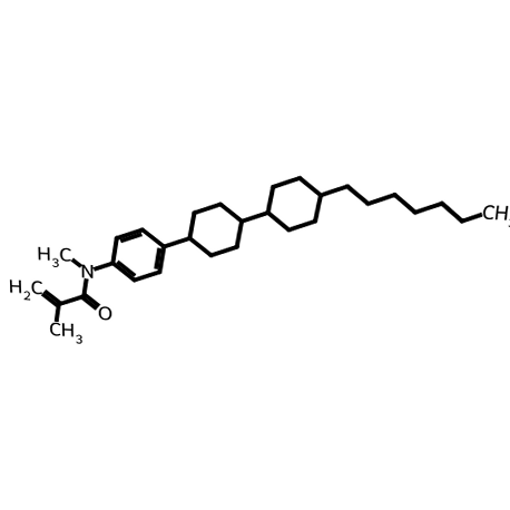 C=C(C)C(=O)N(C)c1ccc(C2CCC(C3CCC(CCCCCCC)CC3)CC2)cc1